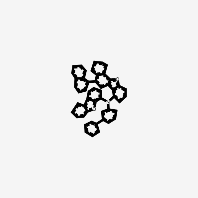 c1ccc(-c2cccc(N(c3cccc4c3oc3ccccc34)c3cccc4oc5c6ccccc6c(-c6cccc7ccccc67)cc5c34)c2)cc1